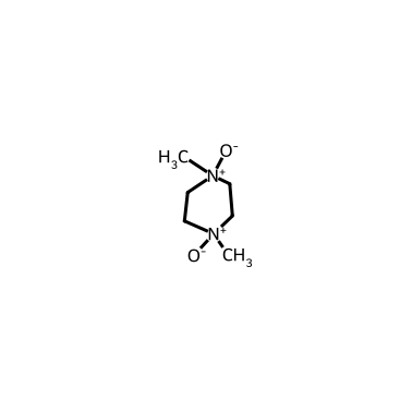 C[N+]1([O-])CC[N+](C)([O-])CC1